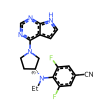 CCN(c1c(F)cc(C#N)cc1F)[C@@H]1CCN(c2ncnc3[nH]ccc23)C1